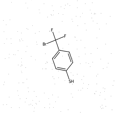 FC(F)(Br)c1ccc(S)cc1